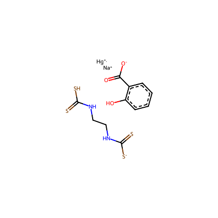 O=C([O-])c1ccccc1O.S=C([S-])NCCNC(=S)S.[Hg+].[Na+]